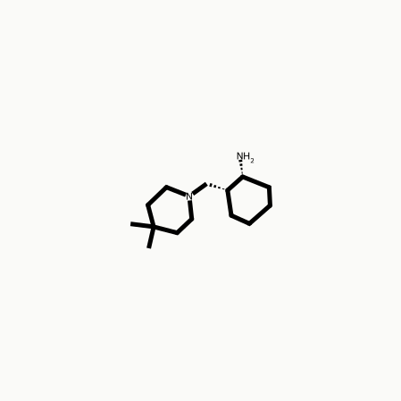 CC1(C)CCN(C[C@H]2CCCC[C@H]2N)CC1